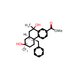 COC(=O)c1ccc2c(c1)C(C)(O)C[C@@H]1C[C@@](O)(C(F)(F)F)CC[C@@]21Cc1ccccc1